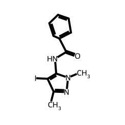 Cc1nn(C)c(NC(=O)c2ccccc2)c1I